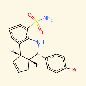 NS(=O)(=O)c1cccc2c1N[C@H](c1ccc(Br)cc1)[C@@H]1CC=C[C@H]21